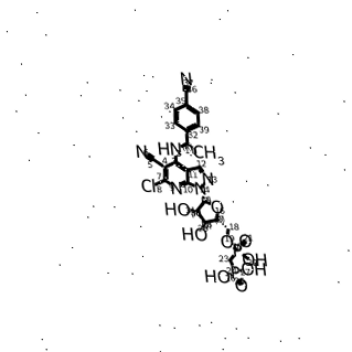 C[C@@H](Nc1c(C#N)c(Cl)nc2c1cnn2[C@@H]1O[C@H](COP(=O)(O)CP(=O)(O)O)[C@@H](O)[C@H]1O)c1ccc(C#N)cc1